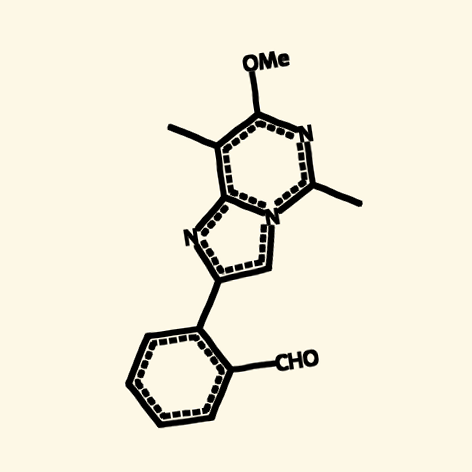 COc1nc(C)n2cc(-c3ccccc3C=O)nc2c1C